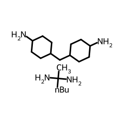 CCCCC(C)(N)N.NC1CCC(CC2CCC(N)CC2)CC1